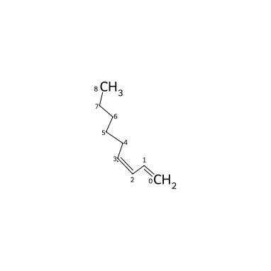 C=C/C=[C]\CCCCC